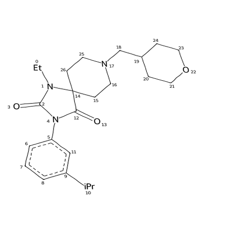 CCN1C(=O)N(c2cccc(C(C)C)c2)C(=O)C12CCN(CC1CCOCC1)CC2